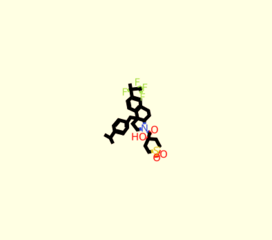 CC(C)c1ccc(CC23CCN(C(=O)C4(O)CCS(=O)(=O)CC4)C2CCc2cc(C(C)(F)C(F)(F)F)ccc23)cc1